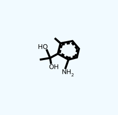 Cc1cccc(N)c1C(C)(O)O